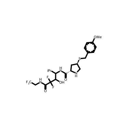 COc1ccc(CS[C@H]2CN[C@H](C(=O)NC(C(C)C)C(O)C(F)(F)C(=O)NCC(F)(F)F)C2)cc1